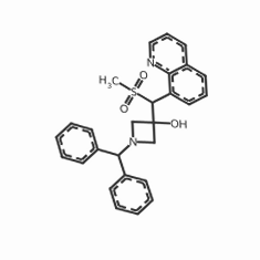 CS(=O)(=O)C(c1cccc2cccnc12)C1(O)CN(C(c2ccccc2)c2ccccc2)C1